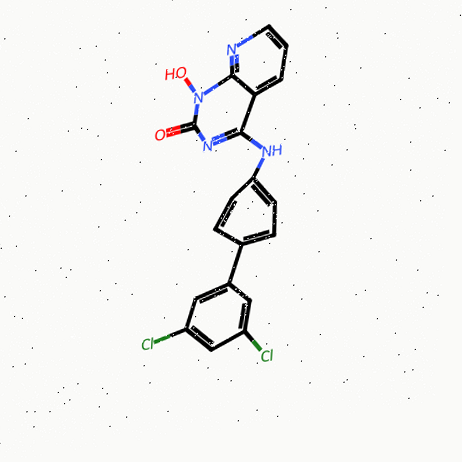 O=c1nc(Nc2ccc(-c3cc(Cl)cc(Cl)c3)cc2)c2cccnc2n1O